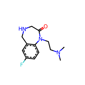 CN(C)CCN1C(=O)CNCc2cc(F)ccc21